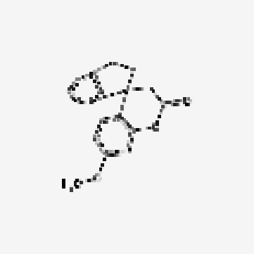 COc1ccc2c(c1)OC(=O)CC21CCc2ccccc21